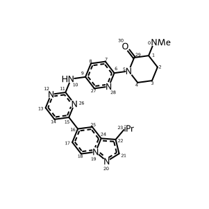 CNC1CCCN(c2ccc(Nc3nccc(-c4ccn5ncc(C(C)C)c5c4)n3)cn2)C1=O